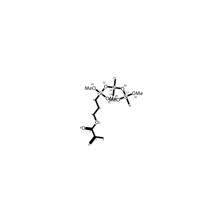 C=C(C)C(=O)OCCC[Si](OC)(OC)O[Si](C)(C)O[Si](C)(OC)OC